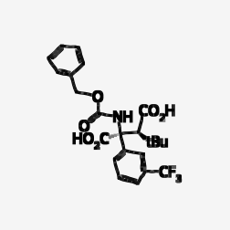 CC(C)(C)[C@H](C(=O)O)[C@@](NC(=O)OCc1ccccc1)(C(=O)O)c1cccc(C(F)(F)F)c1